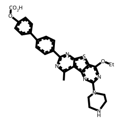 CCOc1nc(N2CCNCC2)nc2c1sc1nc(-c3ccc(-c4ccc(OC(=O)O)cc4)cc3)nc(C)c12